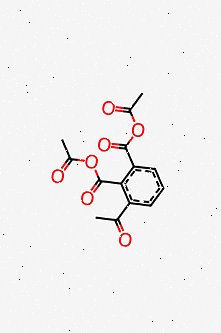 CC(=O)OC(=O)c1cccc(C(C)=O)c1C(=O)OC(C)=O